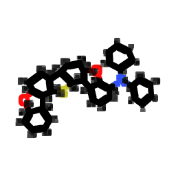 c1ccc(N(c2ccccc2)c2cccc3c2oc2ccc4c5ccc6oc7ccccc7c6c5sc4c23)cc1